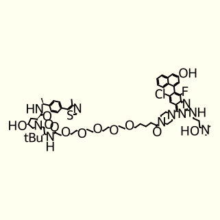 Cc1ncsc1-c1ccc([C@H](C)NC(=O)[C@@H]2C[C@@H](O)CN2C(=O)[C@@H](NC(=O)COCCOCCOCCOCCOCCCCC(=O)N2CCN(c3nc(NCCC(O)N(C)C)nc4c(F)c(-c5cc(O)cc6ccccc56)c(Cl)cc34)CC2)C(C)(C)C)cc1